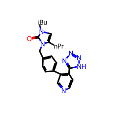 CCCc1cn(C(C)CC)c(=O)n1Cc1ccc(-c2cnccc2-c2nnn[nH]2)cc1